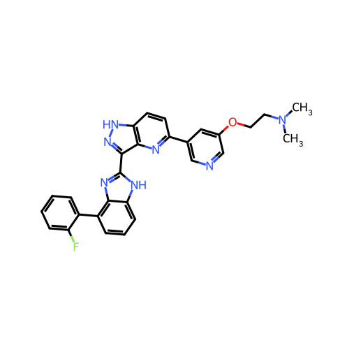 CN(C)CCOc1cncc(-c2ccc3[nH]nc(-c4nc5c(-c6ccccc6F)cccc5[nH]4)c3n2)c1